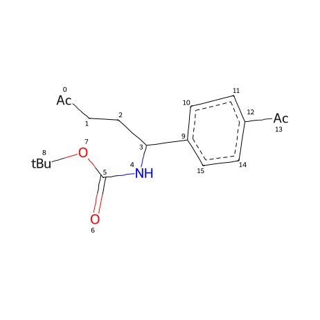 CC(=O)CCC(NC(=O)OC(C)(C)C)c1ccc(C(C)=O)cc1